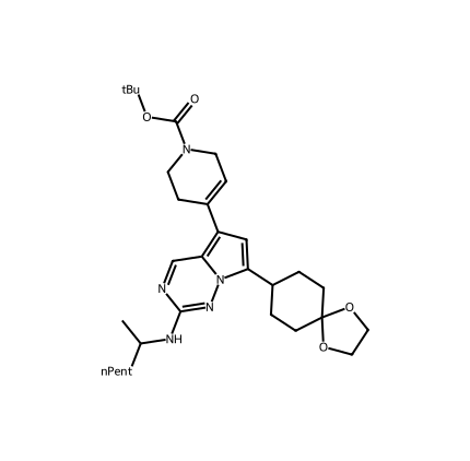 CCCCCC(C)Nc1ncc2c(C3=CCN(C(=O)OC(C)(C)C)CC3)cc(C3CCC4(CC3)OCCO4)n2n1